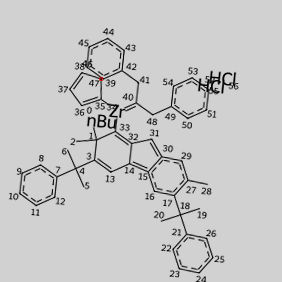 CCCCC1(C)C(C(C)(C)c2ccccc2)=CC2=c3cc(C(C)(C)c4ccccc4)c(C)cc3=CC2=[C]1[Zr]([C]1=CC=CC1)=[C](Cc1ccccc1)Cc1ccccc1.Cl.Cl